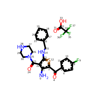 Nc1c(C(=O)c2ccc(F)cc2)sc(NCc2ccccc2)c1C(=O)N1CCNCC1.O=C(O)C(F)(F)F